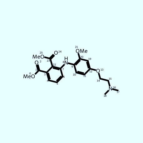 COC(=O)c1cccc(Nc2ccc(OCCN(C)C)cc2OC)c1C(=O)OC